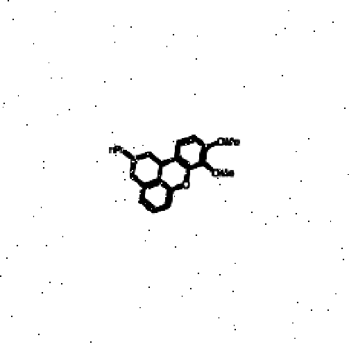 CCCN1Cc2cccc3c2C(C1)c1ccc(OC)c(OC)c1O3